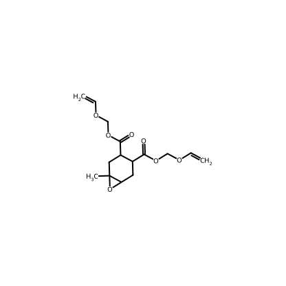 C=COCOC(=O)C1CC2OC2(C)CC1C(=O)OCOC=C